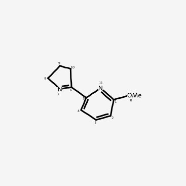 COc1cccc(C2=NCCC2)n1